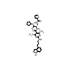 Cc1nc(NCCCc2cccc3[nH]ncc23)nc(C)c1C(=O)N[C@@H](CNC(=O)c1cccs1)C(=O)OC1CCCC1